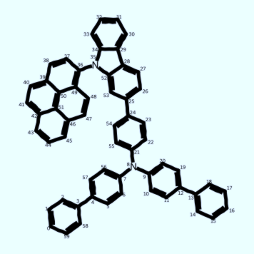 c1ccc(-c2ccc(N(c3ccc(-c4ccccc4)cc3)c3ccc(-c4ccc5c6ccccc6n(-c6ccc7ccc8cccc9ccc6c7c89)c5c4)cc3)cc2)cc1